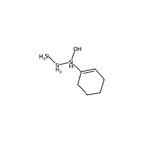 O[SiH]([SiH2][SiH3])C1=CCCCC1